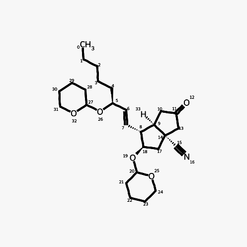 CCCCC[C@@H](C=C[C@@H]1[C@H]2CC(=O)C[C@@]2(C#N)C[C@H]1OC1CCCCO1)OC1CCCCO1